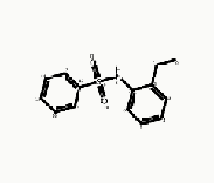 CCc1ccccc1NS(=O)(=O)c1ccccc1